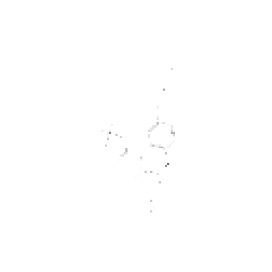 CCCCOc1ccc(C[C@@H](CCO)N(C)CC(=O)OC(C)(C)C)cc1